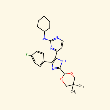 CC1(C)COC(c2nc(-c3ccc(F)cc3)c(-c3ccnc(NC4CCCCC4)n3)[nH]2)OC1